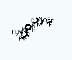 Cc1nc(OCC(F)(F)F)cnc1C(=O)Nc1ccc(F)c([C@@]2(C)N=C(N)S[C@](C)(C(F)F)C2C)c1